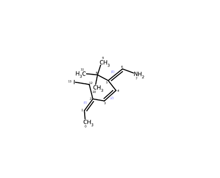 C\C=C(/C=C\C(=C/N)C(C)(C)C)CI